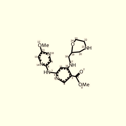 COC(=O)c1cnc(Nc2cnc(OC)cn2)cc1NCC1CNCCO1